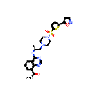 COC(=O)c1cccc2c(N[C@@H](C)CN3CCN(S(=O)(=O)c4ccc(-c5ccno5)s4)CC3)ncnc12